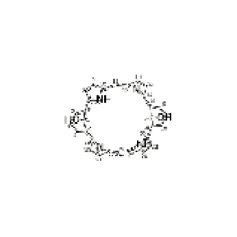 Oc1c2cccc1c1ccc(cc3nc(c4cccc(c4O)c4ccc(cc5nc2C=C5)[nH]4)C=C3)[nH]1